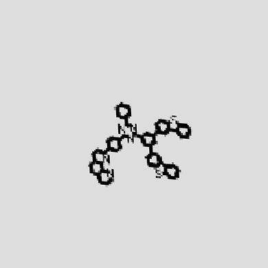 c1ccc(-c2nc(-c3ccc(-c4ccc5ccc6cccnc6c5n4)cc3)nc(-c3cc(-c4ccc5sc6ccccc6c5c4)cc(-c4ccc5sc6ccccc6c5c4)c3)n2)cc1